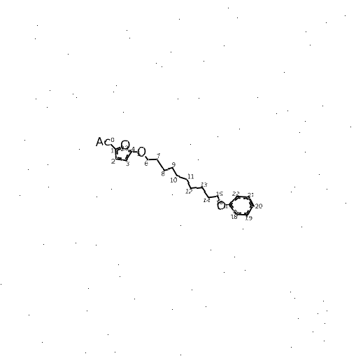 CC(=O)c1ccc(OCCCCCCCCCCOc2ccccc2)o1